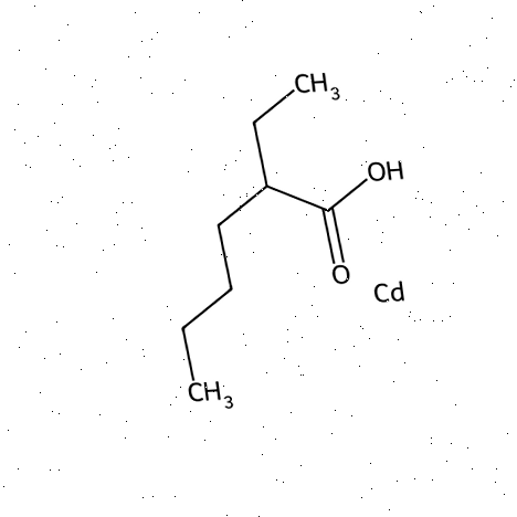 CCCCC(CC)C(=O)O.[Cd]